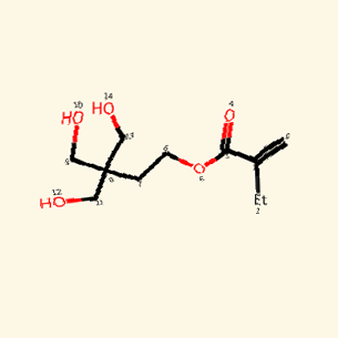 C=C(CC)C(=O)OCCC(CO)(CO)CO